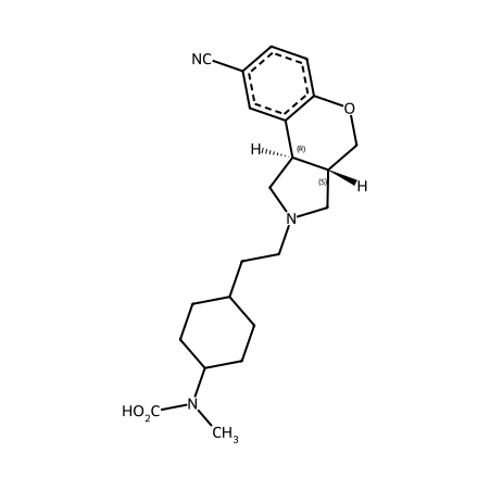 CN(C(=O)O)C1CCC(CCN2C[C@H]3COc4ccc(C#N)cc4[C@@H]3C2)CC1